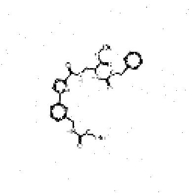 CC(C)(C)OC(=O)NCc1cccc(-c2ccc(C(=O)NCC(NC(=O)OCc3ccccc3)C(=O)OC(C)(C)C)s2)c1